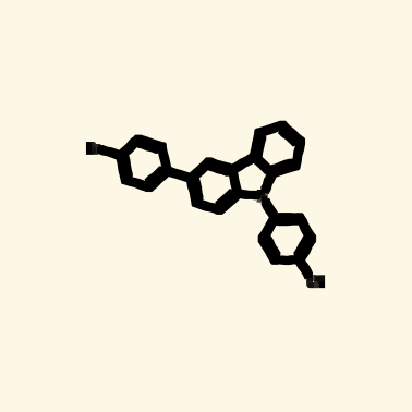 N#Cc1ccc(-n2c3ccccc3c3cc(-c4ccc(Br)cc4)ccc32)cc1